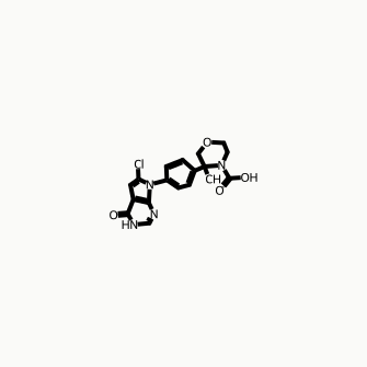 CC1(c2ccc(-n3c(Cl)cc4c(=O)[nH]cnc43)cc2)COCCN1C(=O)O